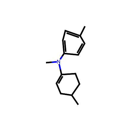 Cc1ccc(N(C)C2=CCC(C)CC2)cc1